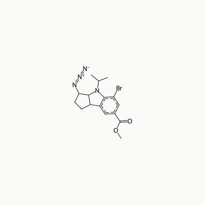 COC(=O)c1cc(Br)c2c(c1)C1CCC(N=[N+]=[N-])C1N2C(C)C